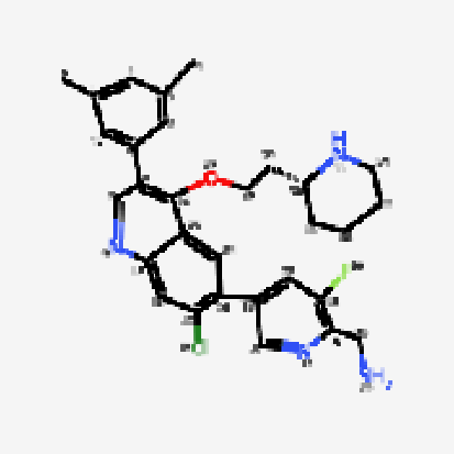 Cc1cc(C)cc(-c2cnc3cc(Cl)c(-c4cnc(CN)c(F)c4)cc3c2OCC[C@H]2CCCCN2)c1